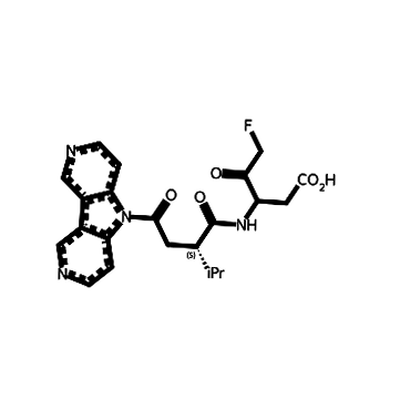 CC(C)[C@H](CC(=O)n1c2ccncc2c2cnccc21)C(=O)NC(CC(=O)O)C(=O)CF